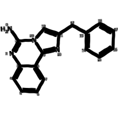 Nc1nc2ccccc2c2nc(Cc3ccccc3)cn12